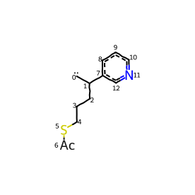 [CH]C(CCCSC(C)=O)c1cccnc1